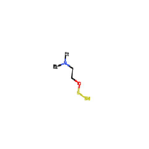 CCN(CC)CCOSS